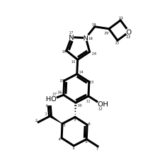 C=C(C)[C@@H]1CCC(C)=C[C@H]1c1c(O)cc(-c2cnn(CC3COC3)c2)cc1O